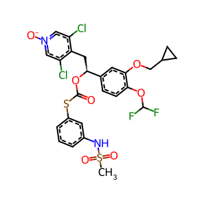 CS(=O)(=O)Nc1cccc(SC(=O)O[C@@H](Cc2c(Cl)c[n+]([O-])cc2Cl)c2ccc(OC(F)F)c(OCC3CC3)c2)c1